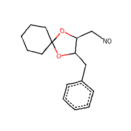 O=NCC1OC2(CCCCC2)OC1Cc1ccccc1